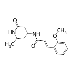 COc1ccccc1C=CC(=O)NC1CC(=O)NC(C)C1